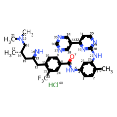 Cc1ccc(NC(=O)c2ccc(CC(=N)C[C@H](C)CN(C)C)c(C(F)(F)F)c2)cc1Nc1nccc(-c2cncnc2)n1.Cl